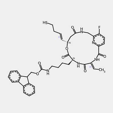 C/C=C1\NC(=O)c2ccc(F)c(n2)CNC(=O)C[C@@H](/C=C/CCS)OC(=O)[C@H](CCCCNC(=O)OCC2c3ccccc3-c3ccccc32)NC1=O